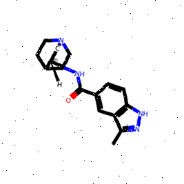 Cc1n[nH]c2ccc(C(=O)N[C@H]3CN4CCC3CC4)cc12